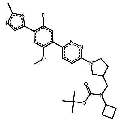 COc1cc(-c2cnc(C)s2)c(F)cc1-c1ccc(N2CCC(CN(C(=O)OC(C)(C)C)C3CCC3)C2)nn1